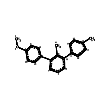 COc1ccc(-c2cccc(-c3ccc(C)cc3)c2C)cc1